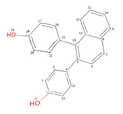 Oc1ccc(-c2ccc3ccccc3c2-c2ccc(O)cc2)cc1